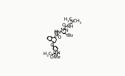 COC(C)c1nnc2ccc(O[C@@H]3CC[C@H](NC(=O)Nc4cc(C(C)(C)C)nc(C(=O)NCCN(C)C)n4)c4ccccc43)cn12